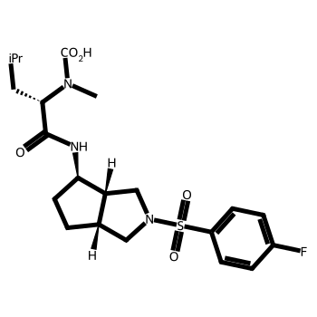 CC(C)C[C@@H](C(=O)N[C@@H]1CC[C@H]2CN(S(=O)(=O)c3ccc(F)cc3)C[C@H]21)N(C)C(=O)O